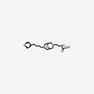 O=C(O)NCCN1CC2CN(CCCCc3ccncc3)CC(C1)O2